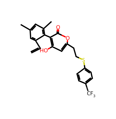 C=Cc1cc(C)cc(C)c1-c1c(O)cc(CCSc2ccc(C(F)(F)F)cc2)oc1=O